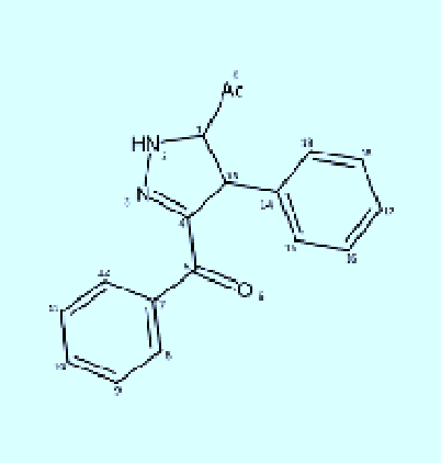 CC(=O)C1NN=C(C(=O)c2ccccc2)C1c1ccccc1